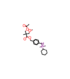 COCC(C)(COC(C)=O)C(=O)OCc1ccc(C[PH](C)(C)C2CCCCC2)cc1